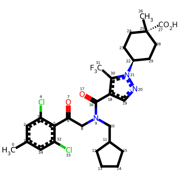 Cc1cc(Cl)c(C(=O)CN(CC2CCCC2)C(=O)c2cnn([C@H]3CC[C@](C)(C(=O)O)CC3)c2C(F)(F)F)c(Cl)c1